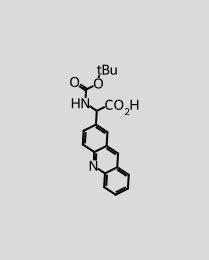 CC(C)(C)OC(=O)NC(C(=O)O)c1ccc2nc3ccccc3cc2c1